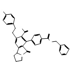 O=C(OCc1ccccc1)c1ccc(-c2c(C(=O)O)c(CCc3ccc(F)cc3)cc3c2C(=O)N2CCC[C@@H]32)cc1